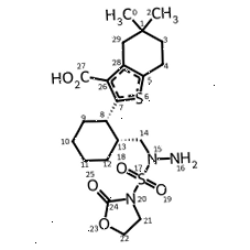 CC1(C)CCc2sc([C@H]3CCCC[C@H]3CN(N)S(=O)(=O)N3CCOC3=O)c(C(=O)O)c2C1